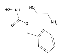 NCCO.O=C(NO)OCc1ccccc1